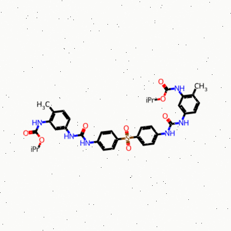 Cc1ccc(NC(=O)Nc2ccc(S(=O)(=O)c3ccc(NC(=O)Nc4ccc(C)c(NC(=O)OC(C)C)c4)cc3)cc2)cc1NC(=O)OC(C)C